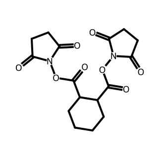 O=C(ON1C(=O)CCC1=O)C1CCCCC1C(=O)ON1C(=O)CCC1=O